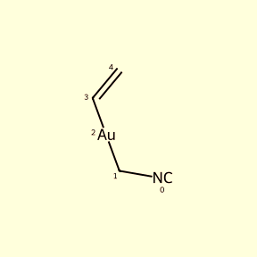 [C-]#[N+][CH2][Au][CH]=C